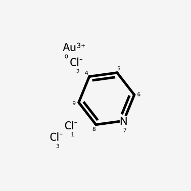 [Au+3].[Cl-].[Cl-].[Cl-].c1ccncc1